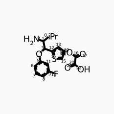 CC(C)C(N)C(Oc1cccc(F)c1)c1cccs1.O=C(O)C(=O)O